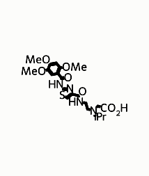 COc1cc(OC)c(C(=O)Nc2nc(C(=O)NCCN(CC(=O)O)C(C)C)cs2)cc1OC